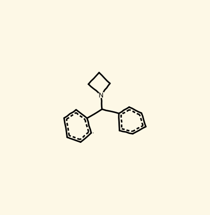 [c]1ccccc1C(c1ccccc1)N1CCC1